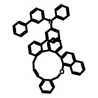 C1=C\c2ccccc2COc2c(ccc3ccccc23)-c2ccccc2-c2c(cccc2-c2cccc(N(c3ccccc3)c3cccc(-c4ccccc4)c3)c2)C/1